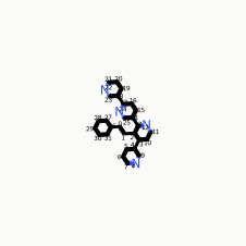 C(=Cc1c(-c2cccnc2)ccnc1-c1ccc(-c2cccnc2)nc1)c1ccccc1